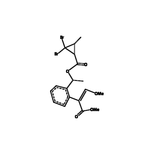 COC=C(C(=O)OC)c1ccccc1C(C)OC(=O)C1C(C)C1(Br)Br